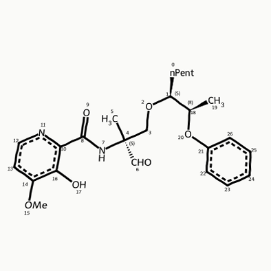 CCCCC[C@H](OC[C@@](C)(C=O)NC(=O)c1nccc(OC)c1O)[C@@H](C)Oc1ccccc1